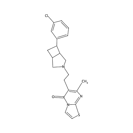 Cc1nc2sccn2c(=O)c1CCN1CC2CC(c3cccc(Cl)c3)C2C1